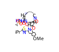 COc1ccc2c(O[C@@H]3C[C@H]4C(=O)N[C@]5(C(=O)NS(=O)(=O)C6CC6)C[C@H]5/C=C\CCCCN(C)C(=O)[C@@H]4C3)nc(-c3nc(C(C)C)cs3)cc2c1